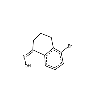 O/N=C1/CCCc2c(Br)cccc21